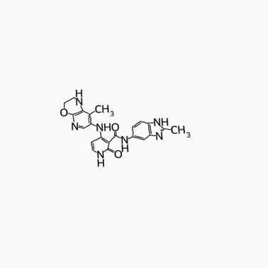 Cc1nc2cc(NC(=O)c3c(Nc4cnc5c(c4C)NCCO5)cc[nH]c3=O)ccc2[nH]1